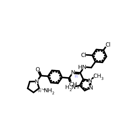 C=C(/N=C(/NCc1ccc(Cl)cc1Cl)c1c(N)cnn1C)c1ccc(C(=O)N2CCC[C@H]2N)cc1